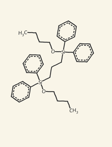 CCCCO[Si](CCC[Si](OCCCC)(c1ccccc1)c1ccccc1)(c1ccccc1)c1ccccc1